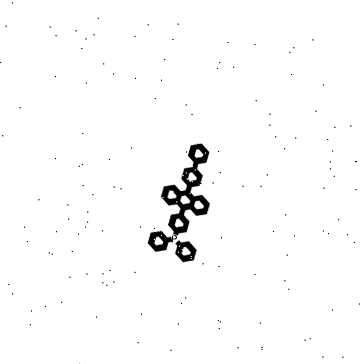 c1ccc(-c2ccc(-c3c4ccccc4c(-c4ccc(P(c5ccccc5)c5ccccc5)cc4)c4ccccc34)cc2)cc1